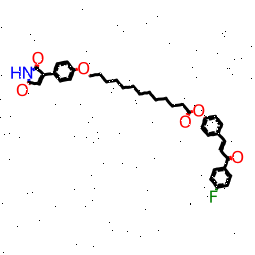 O=C1C=C(c2ccc(OCCCCCCCCCCCCC(=O)Oc3ccc(C=CC(=O)c4ccc(F)cc4)cc3)cc2)C(=O)N1